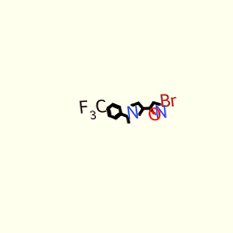 CC(c1ccc(C(F)(F)F)cc1)N1CCC(C2CC(Br)=NO2)C1